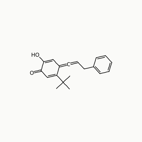 CC(C)(C)C1=CC(=O)C(O)=CC1=C=CCc1ccccc1